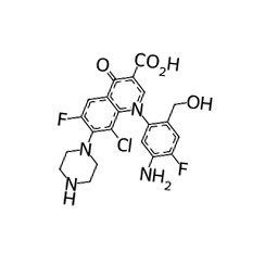 Nc1cc(-n2cc(C(=O)O)c(=O)c3cc(F)c(N4CCNCC4)c(Cl)c32)c(CO)cc1F